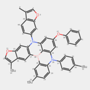 Cc1coc2cc(N3c4cc5occ(C(C)(C)C)c5cc4B4c5cc(C(C)(C)C)ccc5N(c5ccc(C(C)(C)C)cc5)c5cc(Oc6ccccc6)cc3c54)ccc12